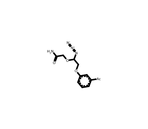 CC(=O)c1cccc(OCC(N=[N+]=[N-])OCC(N)=O)c1